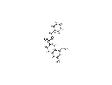 C=Cc1cc(Cl)cc2c1CN(C(=O)OCc1ccccc1)CC2